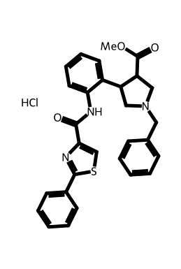 COC(=O)C1CN(Cc2ccccc2)CC1c1ccccc1NC(=O)c1csc(-c2ccccc2)n1.Cl